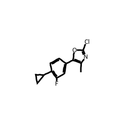 Cc1nc(Cl)oc1-c1ccc(C2CC2)c(F)c1